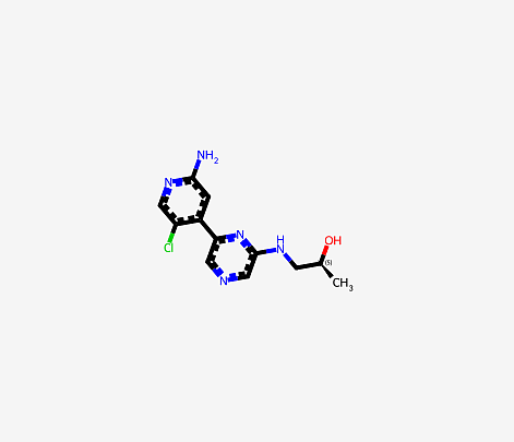 C[C@H](O)CNc1cncc(-c2cc(N)ncc2Cl)n1